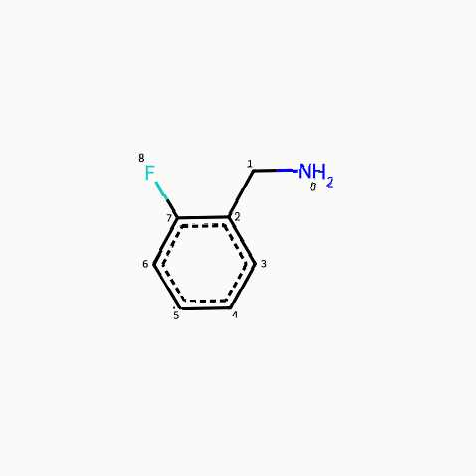 NCc1cc[c]cc1F